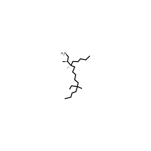 CCCCC[C@@](C)(CCCCCC(C)(CC)CCCC)[C@@H](C)CN